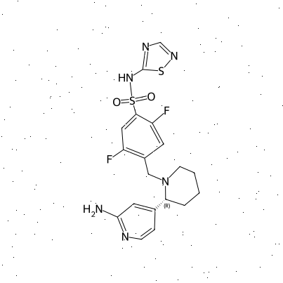 Nc1cc([C@H]2CCCCN2Cc2cc(F)c(S(=O)(=O)Nc3ncns3)cc2F)ccn1